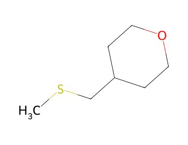 CSCC1CCOCC1